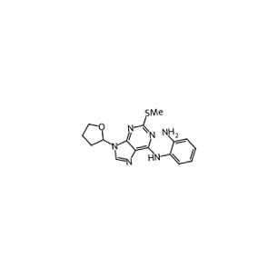 CSc1nc(Nc2ccccc2N)c2ncn(C3CCCO3)c2n1